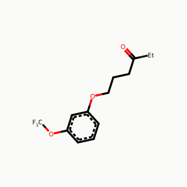 CCC(=O)CCCOc1cccc(OC(F)(F)F)c1